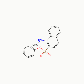 O=CNc1c(S(=O)(=O)Oc2ccccc2)ccc2ccccc12